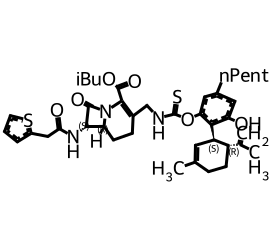 C=C(C)[C@@H]1CCC(C)=C[C@H]1c1c(O)cc(CCCCC)cc1OC(=S)NCC1=C(C(=O)OCC(C)C)N2C(=O)[C@@H](NC(=O)Cc3cccs3)[C@H]2CC1